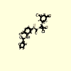 O=C(Nc1cc(NC(=O)[C@H]2[C@H](c3cc(Cl)cc(Cl)c3)C2(Cl)Cl)ccc1Cl)c1ccco1